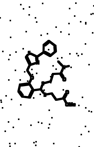 COC(=O)CCSC(SCCC(=O)N(C)C)c1ccccc1OCc1csc(-c2ccccc2)n1